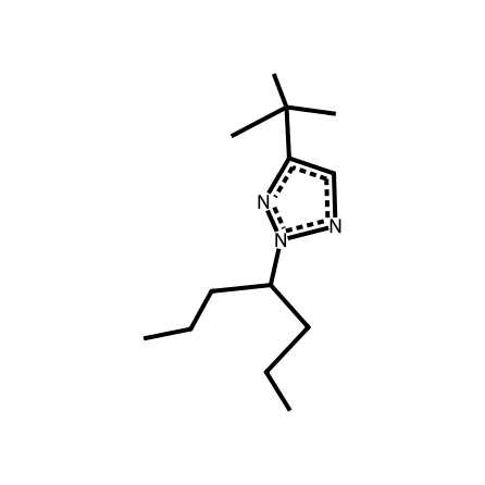 CCCC(CCC)n1ncc(C(C)(C)C)n1